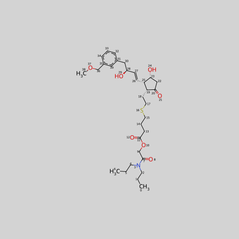 CCCN(CCC)C(=O)COC(=O)CCCSCC[C@H]1C(=O)C[C@@H](O)[C@H]1/C=C/[C@@H](O)Cc1cccc(COC)c1